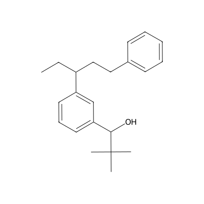 CCC(CCc1ccccc1)c1cccc(C(O)C(C)(C)C)c1